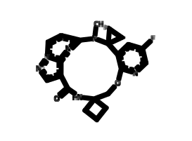 CN1c2ccn3ncc(c3n2)C(=O)NC2(CCC2)COc2ncc(F)cc2C12CC2